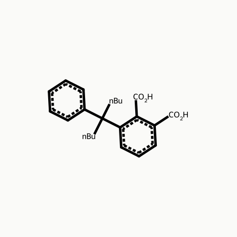 CCCCC(CCCC)(c1ccccc1)c1cccc(C(=O)O)c1C(=O)O